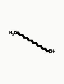 [CH]=CC=CCCCCCCCCCCC=C